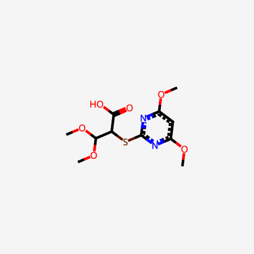 COc1cc(OC)nc(SC(C(=O)O)C(OC)OC)n1